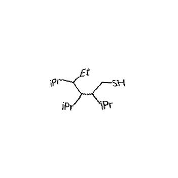 CCC(C(C)C)C(C(C)C)C(CS)C(C)C